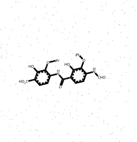 CC(C)Oc1c(NC(=O)c2ccc(NC=O)c(OC(C)C)c2O)ccc(C(=O)O)c1O